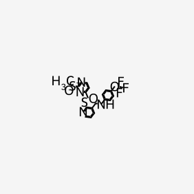 C[S+]([O-])c1nccc(CSc2ncccc2C(=O)Nc2ccc(OC(F)(F)F)cc2)n1